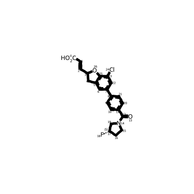 O=C(O)C=CC1Cc2cc(-c3ccc(C(=O)N4CC[C@H](F)C4)cc3)cc(Cl)c2O1